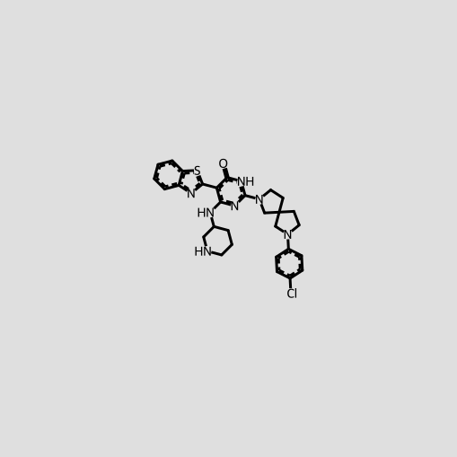 O=c1[nH]c(N2CCC3(CCN(c4ccc(Cl)cc4)C3)C2)nc(NC2CCCNC2)c1-c1nc2ccccc2s1